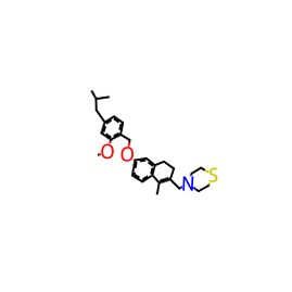 COc1cc(CC(C)C)ccc1COc1ccc2c(c1)CCC(CN1CCSCC1)=C2C